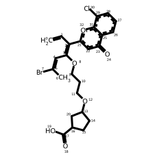 C=C/C(=C(\C=C(/C)Br)OCCCOC1CCC(C(=O)O)C1)c1cc(=O)c2cccc(Cl)c2o1